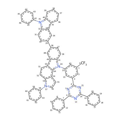 FC(F)(F)c1cc(-c2nc(-c3ccccc3)nc(-c3ccccc3)n2)cc(-n2c3ccc(-c4ccc5c(c4)c4ccccc4n5-c4ccccc4)cc3c3ccc4c(ccn4-c4ccccc4)c32)c1